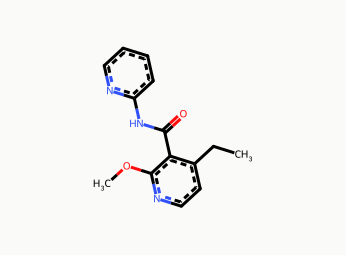 CCc1ccnc(OC)c1C(=O)Nc1ccccn1